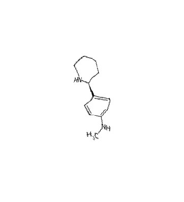 CNc1ccc([C@@H]2CCCCN2)cc1